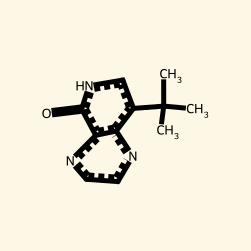 CC(C)(C)c1c[nH]c(=O)c2nccnc12